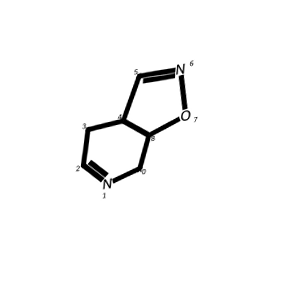 [C]1N=CCC2C=NOC12